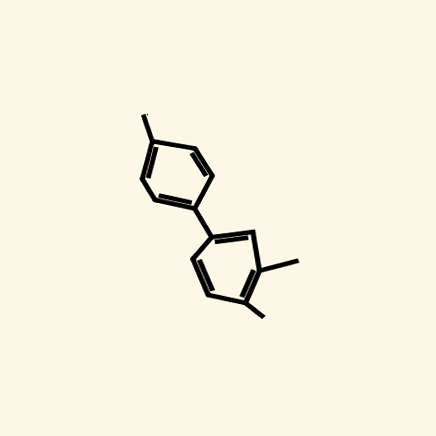 [CH2]c1ccc(-c2ccc(C)c(C)c2)cc1